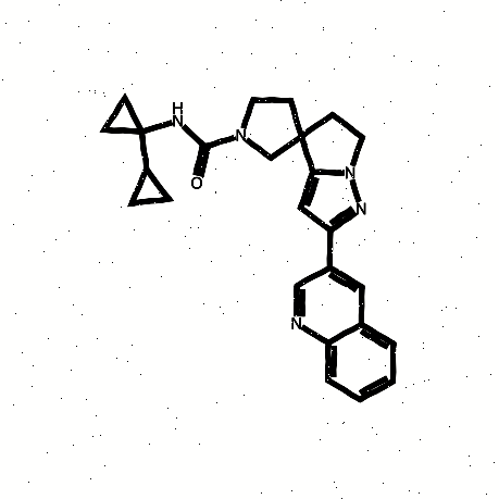 O=C(NC1(C2CC2)CC1)N1CCC2(CCn3nc(-c4cnc5ccccc5c4)cc32)C1